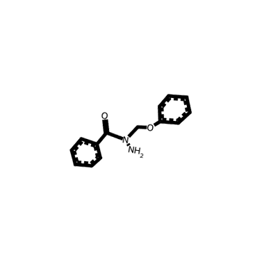 NN(COc1ccccc1)C(=O)c1ccccc1